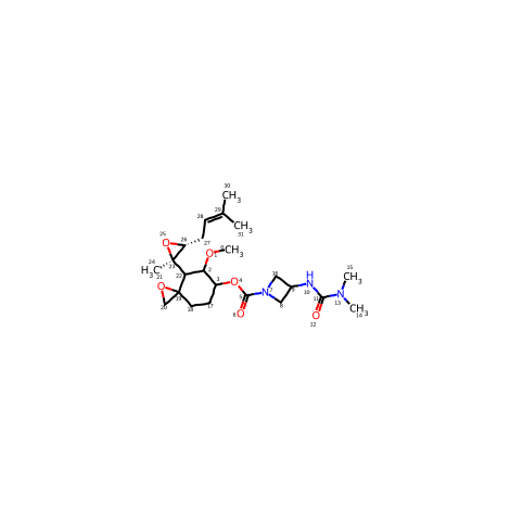 COC1C(OC(=O)N2CC(NC(=O)N(C)C)C2)CCC2(CO2)C1[C@@]1(C)O[C@@H]1CC=C(C)C